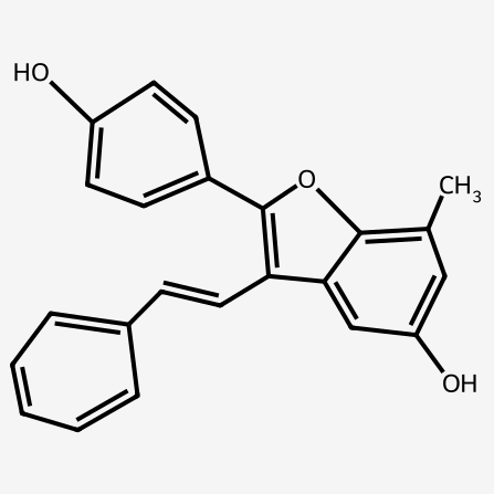 Cc1cc(O)cc2c(C=Cc3ccccc3)c(-c3ccc(O)cc3)oc12